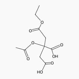 CCOC(=O)CC(CC(=O)O)(OC(C)=O)C(=O)O